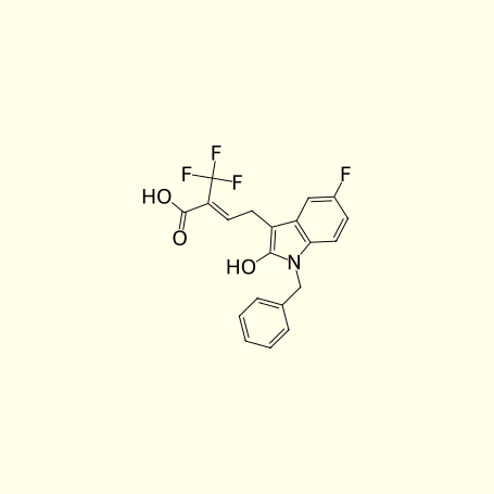 O=C(O)/C(=C/Cc1c(O)n(Cc2ccccc2)c2ccc(F)cc12)C(F)(F)F